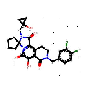 O=C1c2c(c3n(c(=O)c2O)C2(CCCC2)N(CC2(O)CC2)C3=O)CCN1Cc1ccc(F)c(Cl)c1